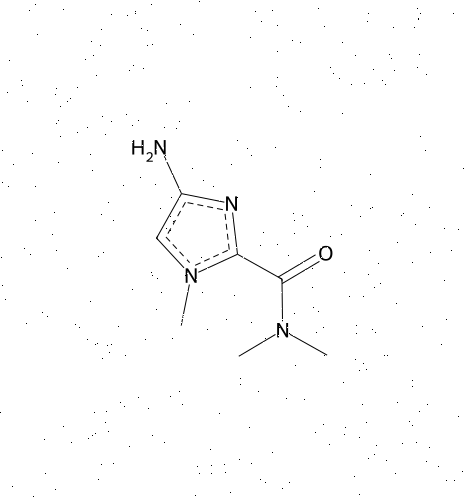 CN(C)C(=O)c1nc(N)cn1C